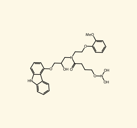 COc1ccccc1OCCN(CC(O)COc1cccc2[nH]c3ccccc3c12)C(=O)CCCON(O)O